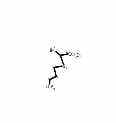 CCOC(=O)C(SCCCC(F)(F)F)C(C)C